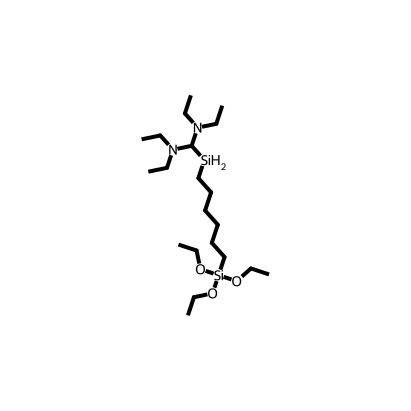 CCO[Si](CCCCCC[SiH2]C(N(CC)CC)N(CC)CC)(OCC)OCC